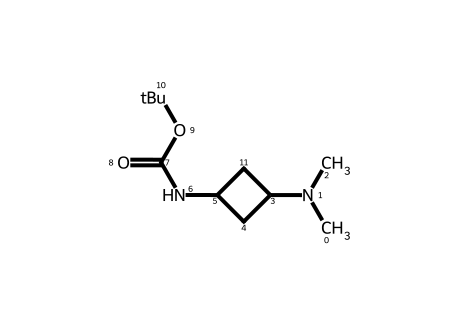 CN(C)C1CC(NC(=O)OC(C)(C)C)C1